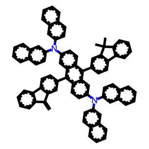 C=C1c2ccccc2-c2ccc(-c3c4ccc(N(c5ccc6ccccc6c5)c5ccc6ccccc6c5)cc4c(-c4ccc5c(c4)C(C)(C)c4ccccc4-5)c4ccc(N(c5ccc6ccccc6c5)c5ccc6ccccc6c5)cc34)cc21